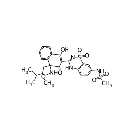 CONC1(CCC(C)C)C(=O)C(C2=NS(=O)(=O)c3cc(NS(C)(=O)=O)ccc3N2)=C(O)c2ccccc21